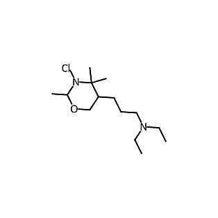 CCN(CC)CCCC1COC(C)N(Cl)C1(C)C